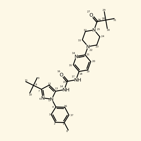 Cc1ccc(-n2nc(C(C)(C)C)cc2NC(=O)Nc2ccc(N3CCN(C(=O)C(C)(C)C)CC3)nc2)cc1